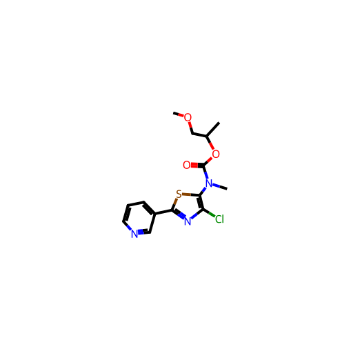 COCC(C)OC(=O)N(C)c1sc(-c2cccnc2)nc1Cl